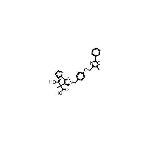 Cc1oc(-c2ccccc2)nc1COc1ccc(Cn2cc(C(C)(C(=O)O)C(=O)O)c(-c3cccs3)n2)cc1